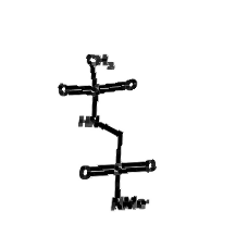 C[N]S(=O)(=O)CNS(C)(=O)=O